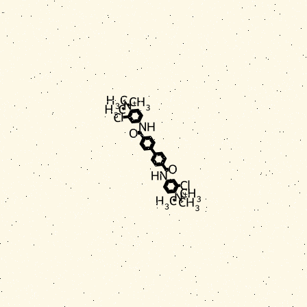 C[N+](C)(C)c1ccc(NC(=O)c2ccc(-c3ccc(C(=O)Nc4ccc([N+](C)(C)C)c(Cl)c4)cc3)cc2)cc1Cl